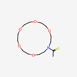 CC(=S)N1CCOCCOCCOCCOCCOCC1